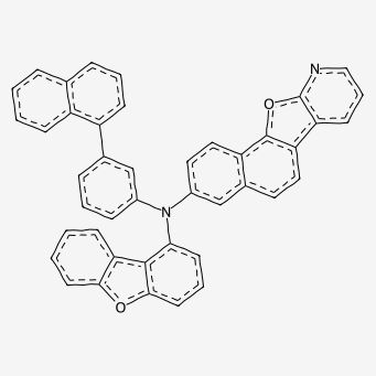 c1cc(-c2cccc3ccccc23)cc(N(c2ccc3c(ccc4c5cccnc5oc34)c2)c2cccc3oc4ccccc4c23)c1